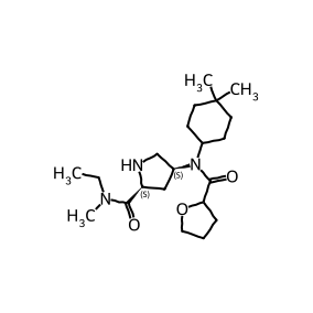 CCN(C)C(=O)[C@@H]1C[C@H](N(C(=O)C2CCCO2)C2CCC(C)(C)CC2)CN1